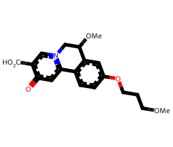 COCCCOc1ccc2c(c1)C(OC)Cn1cc(C(=O)O)c(=O)cc1-2